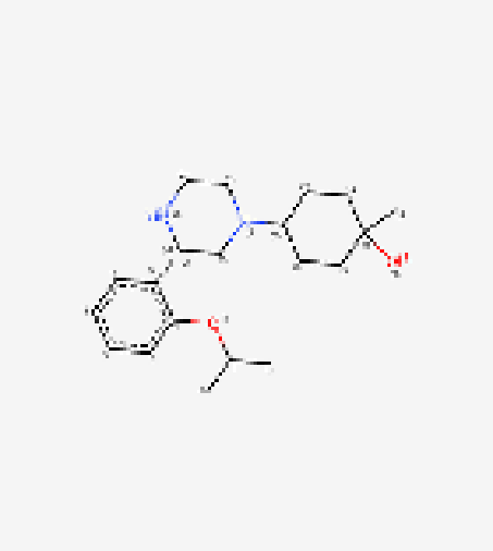 CC(C)Oc1ccccc1[C@H]1CN(C2CCC(C)(O)CC2)CCN1